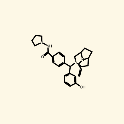 C=CCN1C2CCC1CN(C(c1ccc(C(=O)NN3CCCC3)cc1)c1cccc(O)c1)CC2